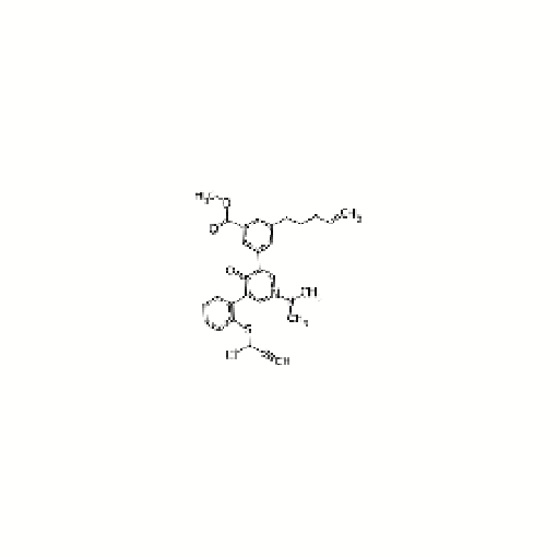 C#CC(Cl)Sc1ccccc1-c1cn(N(C)C)cc(-c2cc(CCCC=C)cc(C(=O)OC)c2)c1=O